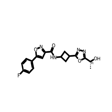 C[C@@H](O)c1nnc(C2CC(NC(=O)c3cc(-c4ccc(F)cc4)on3)C2)o1